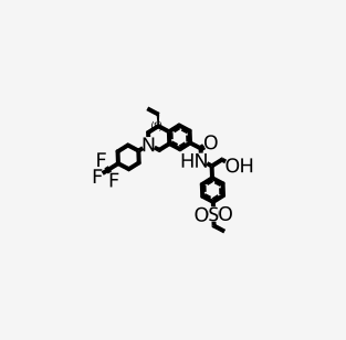 CC[C@@H]1CN(C2CCC(C(F)(F)F)CC2)Cc2cc(C(=O)NC(CO)c3ccc(S(=O)(=O)CC)cc3)ccc21